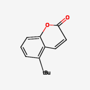 CC(C)(C)c1cccc2oc(=O)ccc12